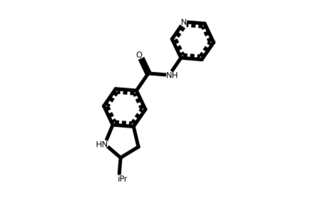 CC(C)C1Cc2cc(C(=O)Nc3cccnc3)ccc2N1